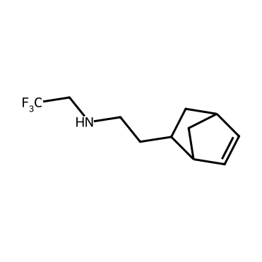 FC(F)(F)CNCCC1CC2C=CC1C2